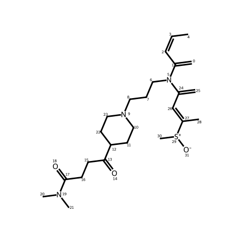 C=C(/C=C\C)N(CCCN1CCC(C(=O)CCC(=O)N(C)C)CC1)C(=C)/C=C(\C)[S+](C)[O-]